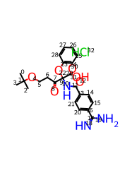 CC(C)(C)OCCC(=O)C(NC(=O)c1ccc(C(=N)N)cc1)(Oc1ccccc1)C(=O)O.Cl